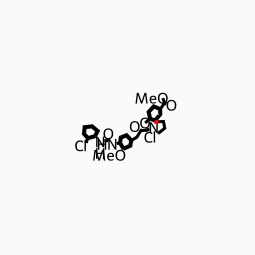 COC(=O)c1ccc(OC(Cl)(C(=O)Cc2ccc(NC(=O)Nc3ccccc3Cl)c(OC)c2)N2CCCC2)cc1